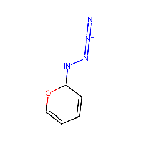 [N-]=[N+]=NNC1C=CC=CO1